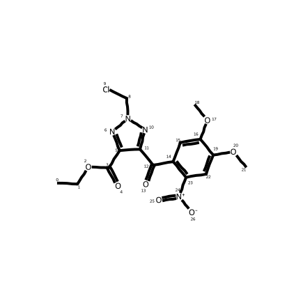 CCOC(=O)c1nn(CCl)nc1C(=O)c1cc(OC)c(OC)cc1[N+](=O)[O-]